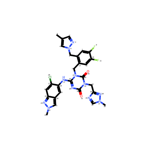 Cc1cnn(Cc2cc(F)c(F)cc2Cn2c(Nc3cc4cn(C)nc4cc3Cl)nc(=O)n(Cc3ncn(C)n3)c2=O)c1